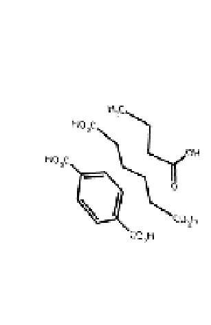 CCCC(=O)O.O=C(O)CCCCC(=O)O.O=C(O)c1ccc(C(=O)O)cc1